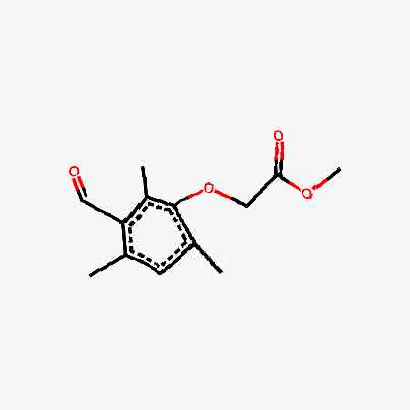 COC(=O)COc1c(C)cc(C)c(C=O)c1C